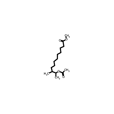 COC(=O)CCCCCCCCC(C)C(C)OC(C)=O